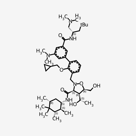 C[C@@H]1[C@@H](NC(=O)[C@@H]2[C@H]([C@H](C)O)[C@H](CO)ON2Cc2cccc(-c3cc(C(=O)N[C@H](CN(C)C)CC(C)(C)C)cc(N(C)C)c3)c2OCC2CC2)C[C@@H](C)C(C)(C)[C@H]1C